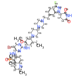 CCc1cc(Nc2ncc(Br)c(Nc3ccc4nc(C)ccc4c3P(C)(C)=O)n2)c(OC)cc1N1CCC(N2CCN(CCc3ccc4c(F)nn(C5CCC(=O)NC5=O)c4c3)CC2)CC1